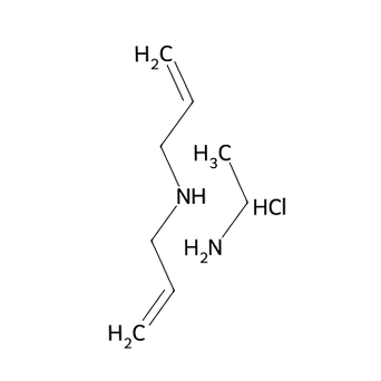 C=CCNCC=C.CCN.Cl